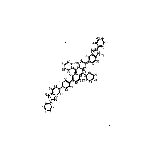 Cn1c(-c2ccccc2)nc2cc(-c3ccc(-c4ccc5c(-c6ccccc6)c6cc(-c7ccc8c(c7)nc(-c7ccccc7)n8C)ccc6c(-c6ccccc6)c5c4)cc3)ccc21